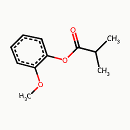 COc1ccccc1OC(=O)C(C)C